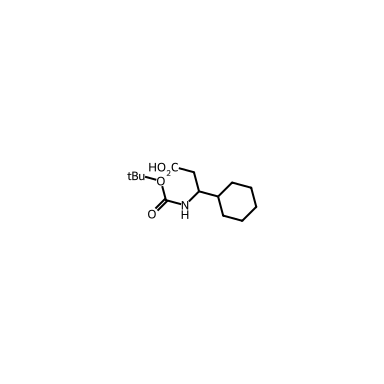 CC(C)(C)OC(=O)NC(CC(=O)O)C1CCCCC1